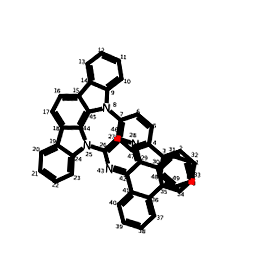 c1ccc(-c2ccc(-n3c4ccccc4c4ccc5c6ccccc6n(-c6cnc7c8ccccc8c8ccccc8c7n6)c5c43)cc2)cc1